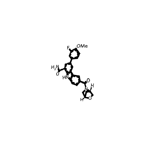 COc1ccc(-c2cc(C(N)=O)c3[nH]c4ccc(C(=O)N5C[C@@H]6C[C@H]5CO6)cc4c3c2)cc1F